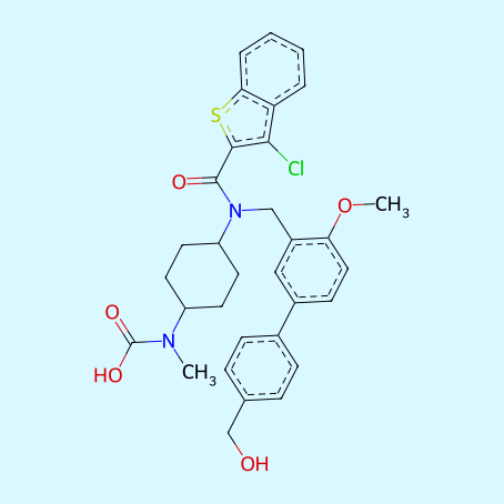 COc1ccc(-c2ccc(CO)cc2)cc1CN(C(=O)c1sc2ccccc2c1Cl)C1CCC(N(C)C(=O)O)CC1